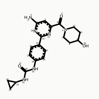 Nc1cc(C(=O)N2CCC(O)CC2)nc(-c2ccc(NC(=O)NC3CC3)cc2)n1